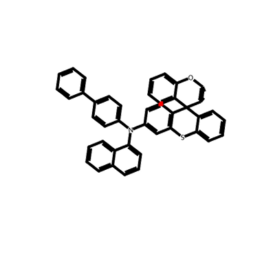 c1ccc(-c2ccc(N(c3ccc4c(c3)Sc3ccccc3C43c4ccccc4Oc4ccccc43)c3cccc4ccccc34)cc2)cc1